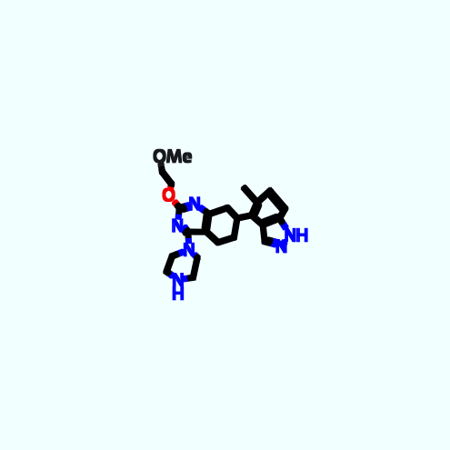 COCCOc1nc2c(c(N3CCNCC3)n1)CCC(c1c(C)ccc3[nH]ncc13)C2